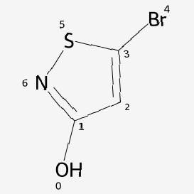 Oc1cc(Br)sn1